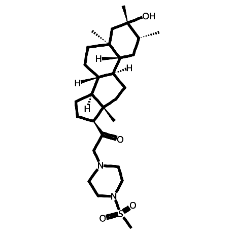 C[C@@H]1C[C@@H]2[C@H]3CC[C@]4(C)[C@@H](C(=O)CN5CCN(S(C)(=O)=O)CC5)CC[C@H]4[C@@H]3CC[C@@]2(C)C[C@]1(C)O